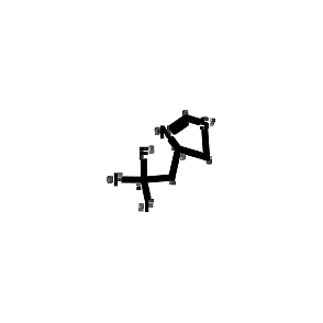 FC(F)(F)C[C]1CSC=N1